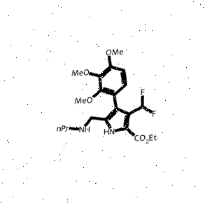 CCCNCc1[nH]c(C(=O)OCC)c(C(F)F)c1-c1ccc(OC)c(OC)c1OC